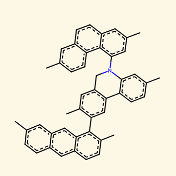 Cc1ccc2c(c1)N(c1cc(C)cc3ccc4cc(C)ccc4c13)Cc1cc(C)c(-c3c(C)ccc4cc5ccc(C)cc5cc34)cc1-2